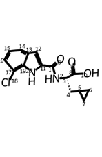 O=C(N[C@@H](CC1CC1)C(=O)O)c1cc2cccc(Cl)c2[nH]1